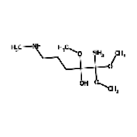 CNCCCC(O)(OC)C([SiH3])(OC)OC